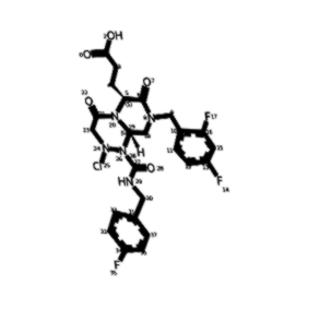 O=C(O)CC[C@H]1C(=O)N(Cc2ccc(F)cc2F)C[C@H]2N1C(=O)CN(Cl)N2C(=O)NCc1ccc(F)cc1